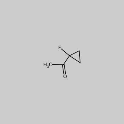 CC(=O)C1(F)CC1